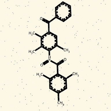 Cc1cc(C)c(C(=O)[PH](=O)c2c(C)cc(C(=O)c3ccccc3)c(C)c2C)c(C)c1